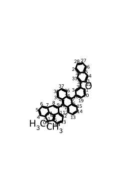 CC1(C)c2cccc3cc(-c4c5ccccc5c(-c5ccc6oc7cc8ccccc8cc7c6c5)c5ccccc45)c4cccc1c4c23